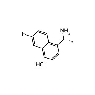 C[C@@H](N)c1cccc2cc(F)ccc12.Cl